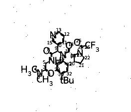 CN(C)C(=O)CNC(=O)C(c1cccnc1)N(C(=O)[C@H]1CCCN1C(=O)C(F)(F)F)c1ccc(C(C)(C)C)cc1